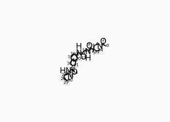 CC(=O)N1CCC(C)(C(=O)NCC(=O)Nc2ccc3c(c2)C[C@H](C(=O)Nc2ccccn2)C3)CC1